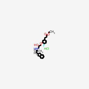 CCOC(=O)CCc1ccc(F)c(OCC(O)CNC(C)(C)CC2Cc3ccccc3C2)c1.Cl